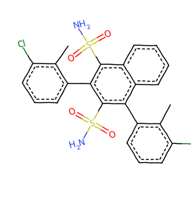 Cc1c(Cl)cccc1-c1c(S(N)(=O)=O)c(-c2cccc(Cl)c2C)c2ccccc2c1S(N)(=O)=O